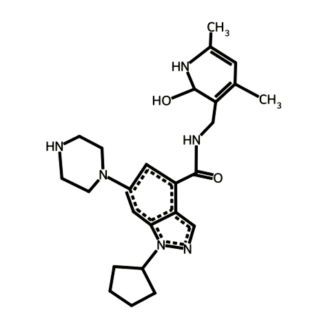 CC1=CC(C)=C(CNC(=O)c2cc(N3CCNCC3)cc3c2cnn3C2CCCC2)C(O)N1